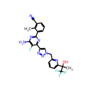 Cc1c(C#N)cccc1-c1nc(N)c(F)c(-c2cn(Cc3cccc(C(C)(O)C(F)(F)F)n3)nn2)n1